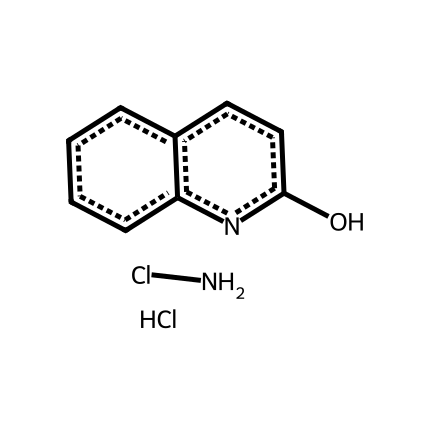 Cl.NCl.Oc1ccc2ccccc2n1